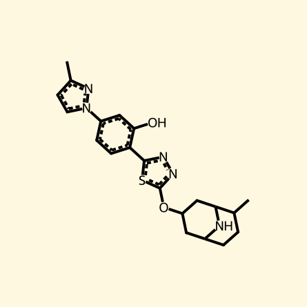 Cc1ccn(-c2ccc(-c3nnc(OC4CC5CCC(C)C(C4)N5)s3)c(O)c2)n1